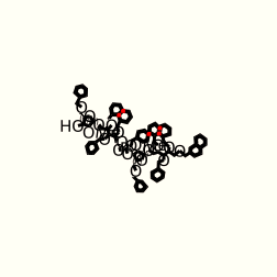 COC1C(O)[C@@H](COCc2ccccc2)O[C@H]1OCC(OCc1ccccc1)C(OCc1ccccc1)C(COP(=O)(OCc1ccccc1)OC1C(OC)[C@H](OCC(OCc2ccccc2)C(OCc2ccccc2)C(COCc2ccc3ccccc3c2)OCc2ccccc2)O[C@@H]1COCc1ccccc1)OCc1ccccc1